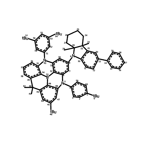 CC(C)(C)c1ccc(N2c3cc(N4c5ccc(-c6ccccc6)cc5C5(C)CCCCC45C)cc4c3B3c5c(cccc5C(C)(C)c5cc(C(C)(C)C)cc2c53)N4c2cc(C(C)(C)C)cc(C(C)(C)C)c2)cc1